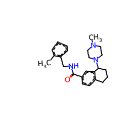 Cc1ccccc1CNC(=O)c1ccc2c(c1)C(N1CCN(C)CC1)CCC2